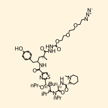 CCCO[C@H](C[C@H](C(C)C)N(CCC)C(=O)[C@@H](NC(=O)[C@H]1CCCCN1C)[C@@H](C)CC)c1nc(C(=O)NC(Cc2ccc(O)cc2)C[C@H](C)C(=O)NNC(=O)OCCOCCOCCN=[N+]=[N-])cs1